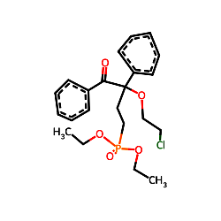 CCOP(=O)(CCC(OCCCl)(C(=O)c1ccccc1)c1ccccc1)OCC